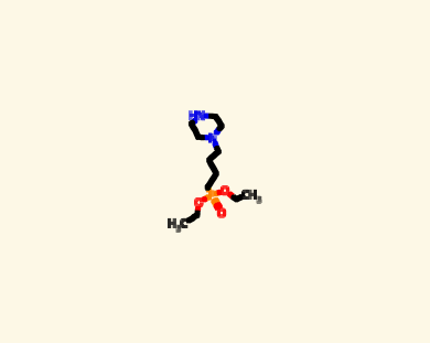 CCOP(=O)(CCCCN1CCNCC1)OCC